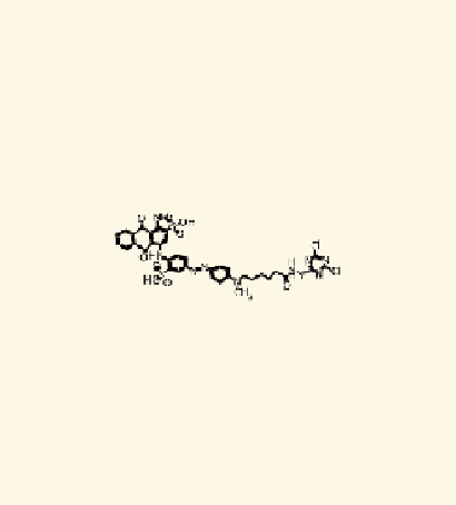 CN(CCCCCC(=O)NNc1nc(Cl)nc(Cl)n1)c1ccc(/N=N/c2ccc(Nc3cc(S(=O)(=O)O)c(N)c4c3C(=O)c3ccccc3C4=O)c(S(=O)(=O)O)c2)cc1